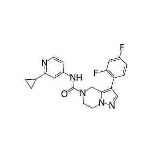 O=C(Nc1ccnc(C2CC2)c1)N1CCn2ncc(-c3ccc(F)cc3F)c2C1